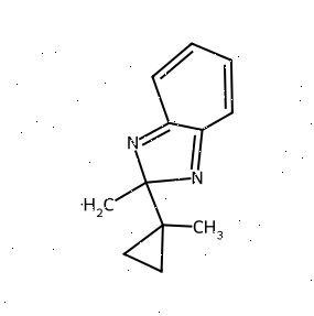 [CH2]C1(C2(C)CC2)N=c2ccccc2=N1